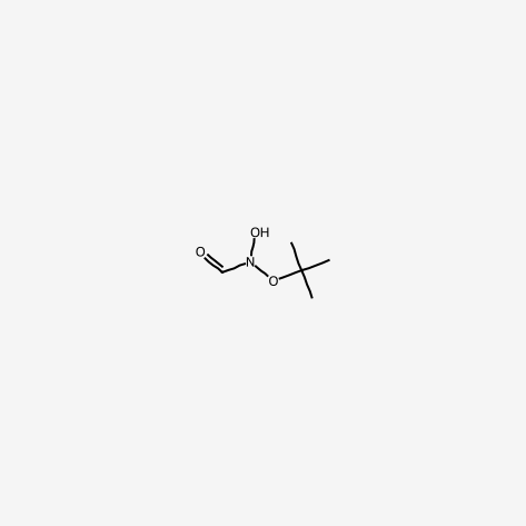 CC(C)(C)ON(O)C=O